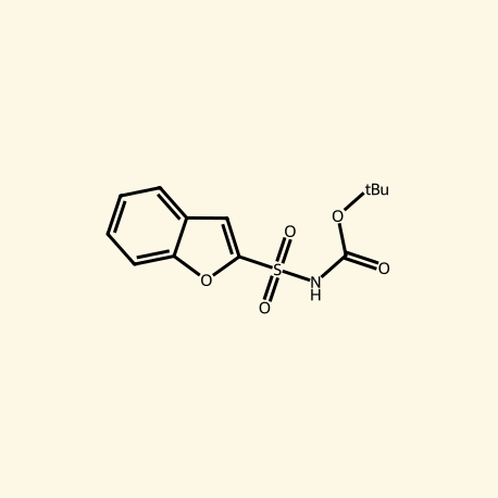 CC(C)(C)OC(=O)NS(=O)(=O)c1cc2ccccc2o1